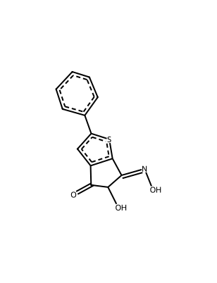 O=C1c2cc(-c3ccccc3)sc2C(=NO)C1O